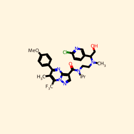 COc1ccc(-c2nc3c(C(=O)N(CCN(C)C(CO)c4ccc(Cl)nc4)C(C)C)cnn3c(C(F)(F)F)c2C)cc1